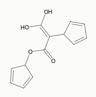 O=C(OC1C=CC=C1)C(=C(O)O)C1C=CC=C1